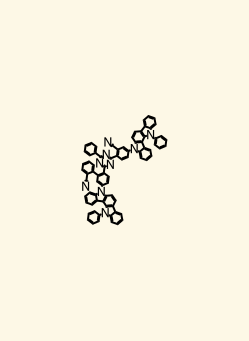 N#Cc1cc(-n2c3ccccc3c3c2ccc2c4ccccc4n(-c4ccccc4)c23)ccc1-c1nc(-c2ccccc2)nc(-c2ccc(-n3c4ccccc4c4c3ccc3c5ccccc5n(-c5ccccc5)c34)cc2-c2ccccc2C#N)n1